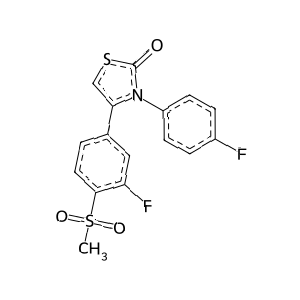 CS(=O)(=O)c1ccc(-c2csc(=O)n2-c2ccc(F)cc2)cc1F